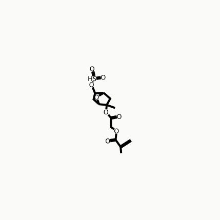 C=C(C)C(=O)OCC(=O)OC1(C)CC2OC1CC2O[SH](=O)=O